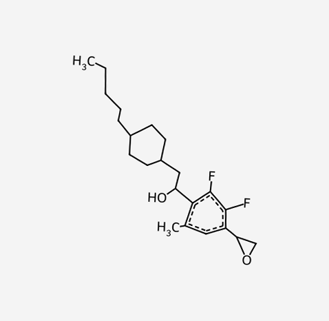 CCCCCC1CCC(CC(O)c2c(C)cc(C3CO3)c(F)c2F)CC1